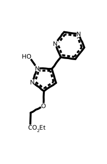 CCOC(=O)COc1cc(-c2ccncn2)n(O)n1